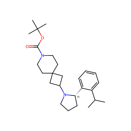 CC(C)c1ccccc1[C@@H]1CCCN1C1CC2(CCN(C(=O)OC(C)(C)C)CC2)C1